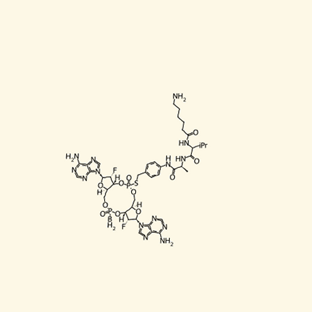 BP1(=O)OC[C@H]2O[C@@H](n3cnc4c(N)ncnc43)[C@H](F)[C@@H]2OP(=O)(SCc2ccc(NC(=O)[C@H](C)NC(=O)C(NC(=O)CCCCCN)C(C)C)cc2)OC[C@H]2O[C@@H](n3cnc4c(N)ncnc43)[C@H](F)[C@@H]2O1